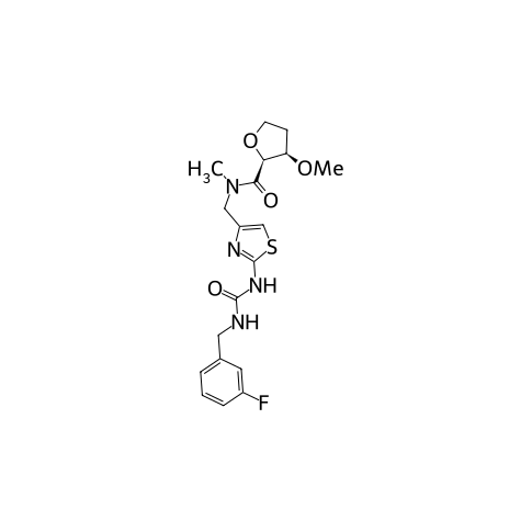 CO[C@@H]1CCO[C@@H]1C(=O)N(C)Cc1csc(NC(=O)NCc2cccc(F)c2)n1